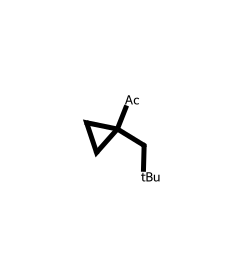 CC(=O)C1(CC(C)(C)C)CC1